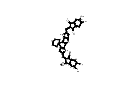 O=C1C(=Cc2cc3sc4c(c3s2)C2(CCCCC2)c2cc(/C=C3\C(=O)c5cc(F)c(F)cc5C3O)sc2-4)C(=O)c2cc(F)c(F)cc21